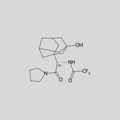 O=C([C@@H](NC(=O)C(F)(F)F)C12CC3CC(CC(O)(C3)C1)C2)N1CCCC1